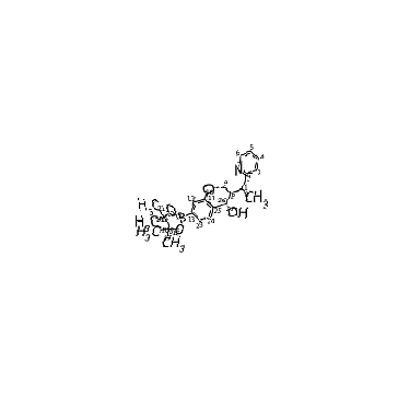 CC(c1ccccn1)[C@@H]1COc2cc(B3OC(C)(C)C(C)(C)O3)ccc2[C@H]1O